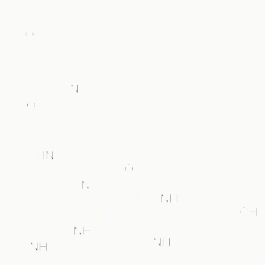 CNC1=CC(Nc2cccn(C3CCCOC3)c2=O)=N/C(=C(/C=N)C(=O)NCC(C)(C)CO)N1